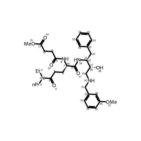 CCCN(CC)C(=O)CC[C@@H](NC(=O)CCC(=O)OC)C(=O)N[C@@H](Cc1ccccc1)[C@H](O)CNCc1cccc(OC)c1